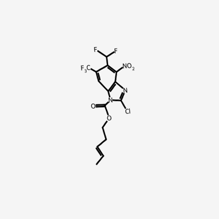 CC=CCCOC(=O)n1c(Cl)nc2c([N+](=O)[O-])c(C(F)F)c(C(F)(F)F)cc21